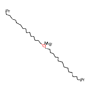 CC(C)CCCCCCCCCCCCCCCOCCCCCCCCCCCCCCCC(C)C.[Mg]